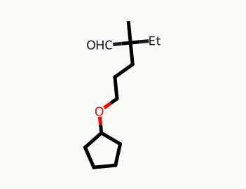 CCC(C)(C=O)CCCOC1CCCC1